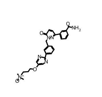 C[N+](C)([O-])CCCOc1cnc(-c2cccc(Cn3nc(-c4cccc(C(N)=O)c4)ccc3=O)c2)nc1